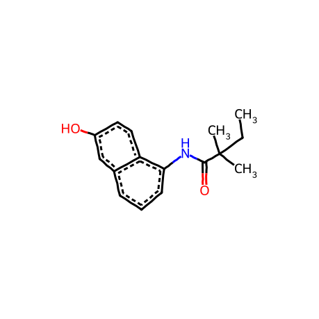 CCC(C)(C)C(=O)Nc1cccc2cc(O)ccc12